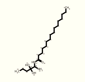 CCCCCCCCCCCCCCCC(=O)NC(N)C(O)(O)CCC